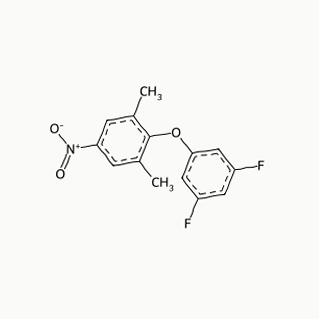 Cc1cc([N+](=O)[O-])cc(C)c1Oc1cc(F)cc(F)c1